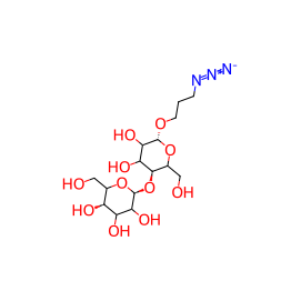 [N-]=[N+]=NCCCO[C@@H]1OC(CO)[C@@H](O[C@@H]2OC(CO)[C@H](O)C(O)C2O)C(O)C1O